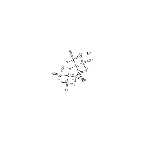 CS(=O)(=O)[Si]([N-][Si](S(C)(=O)=O)(S(C)(=O)=O)S(C)(=O)=O)(S(C)(=O)=O)S(C)(=O)=O.[Li+]